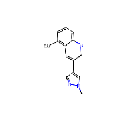 Cn1cc(-c2cnc3cccc(C(C)(C)C)c3c2)cn1